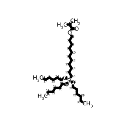 C=C(C)C(=O)OCCCCCCCCCCC[Si](OCCCCCC)(OCCCCCC)OCCCCCC